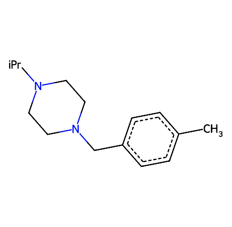 Cc1ccc(CN2CCN(C(C)C)CC2)cc1